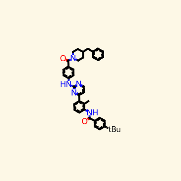 Cc1c(NC(=O)c2ccc(C(C)(C)C)cc2)cccc1-c1ccnc(Nc2ccc(C(=O)N3CCC(Cc4ccccc4)CC3)cc2)n1